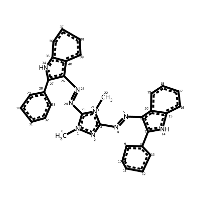 Cn1nc(N=Nc2c(-c3ccccc3)[nH]c3ccccc23)[n+](C)c1N=Nc1c(-c2ccccc2)[nH]c2ccccc12